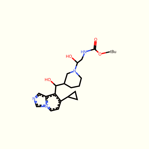 CC(C)(C)OC(=O)NCC(O)N1CCCC(C(O)c2c(C3CC3)ccn3cncc23)C1